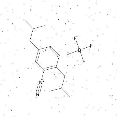 CC(C)Cc1ccc(CC(C)C)c([N+]#N)c1.F[B-](F)(F)F